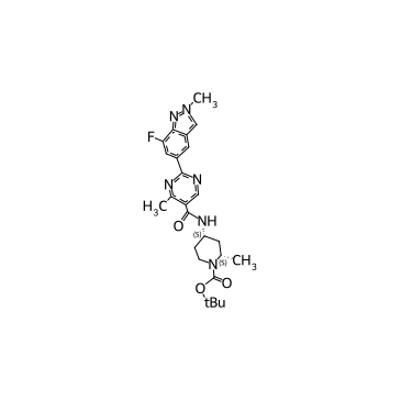 Cc1nc(-c2cc(F)c3nn(C)cc3c2)ncc1C(=O)N[C@H]1CCN(C(=O)OC(C)(C)C)[C@@H](C)C1